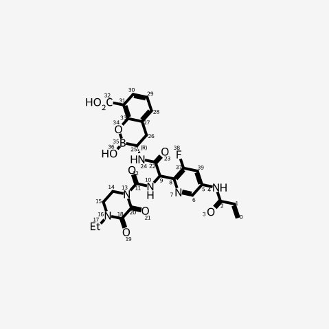 C=CC(=O)Nc1cnc(C(NC(=O)N2CCN(CC)C(=O)C2=O)C(=O)N[C@H]2Cc3cccc(C(=O)O)c3OB2O)c(F)c1